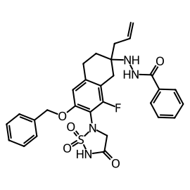 C=CCC1(NNC(=O)c2ccccc2)CCc2cc(OCc3ccccc3)c(N3CC(=O)NS3(=O)=O)c(F)c2C1